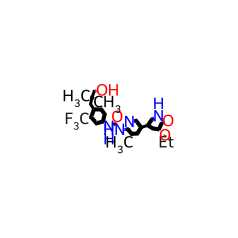 CCOc1cc(-c2cnc(NC(=O)Nc3ccc(CC(C)(C)CO)c(C(F)(F)F)c3)c(C)c2)c[nH]c1=O